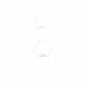 C=CC(=O)Oc1ccc(OC=O)cc1